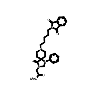 COC(=O)CN1CN(c2ccccc2)C2(CCN(CCCCCN3C(=O)c4ccccc4C3=O)CC2)C1=O